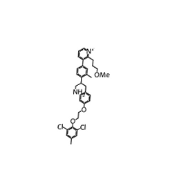 COCCCc1c(-c2ccc(C(CN)Cc3ccc(OCCOc4c(Cl)cc(C)cc4Cl)cc3)c(C)c2)ccc[n+]1C